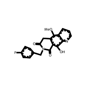 COc1c2c(c(O)c3ncccc13)C(=O)N(Cc1ccc(F)cc1)C(=O)C2